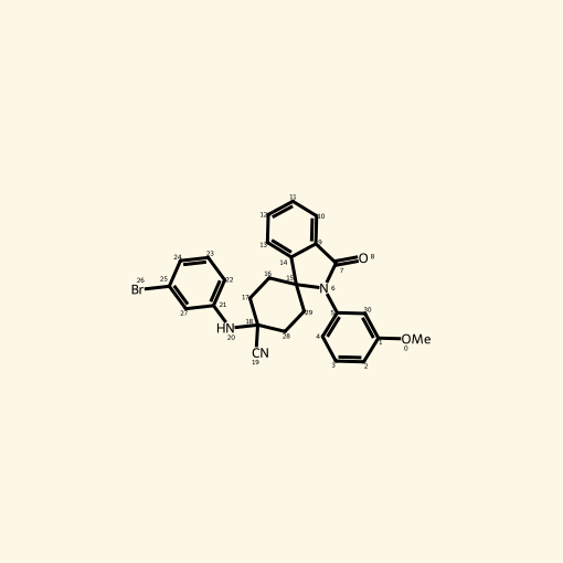 COc1cccc(N2C(=O)c3ccccc3C23CCC(C#N)(Nc2cccc(Br)c2)CC3)c1